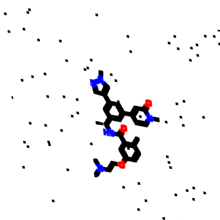 Cc1ccc(OCCN(C)C)cc1C(=O)N[C@H](C)c1cc(-c2ccn(C)c(=O)c2)cc(-c2cnn(C)c2)c1